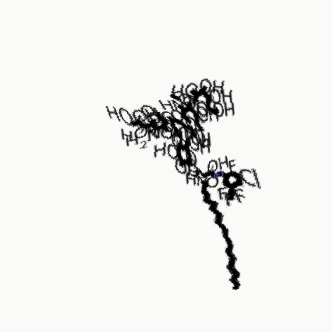 CCCCCCCCCCCCCCCCCC(=O)N[C@@H](CO[C@@H]1OC(CO)[C@@H](O[C@@H]2OC(CO)[C@H](O[C@@H]3OC(CO)[C@H](O)C(O[C@@H]4OC(CO)[C@H](O)C(O)C4O)C3NC(C)=O)C(O[C@]3(C=O)CC(O)[C@@H](N)C([C@H](O)[C@H](O)CO)O3)C2O)C(O)C1O)[C@H](O)/C=C/c1cc(C(F)(F)F)cc(Cl)c1F